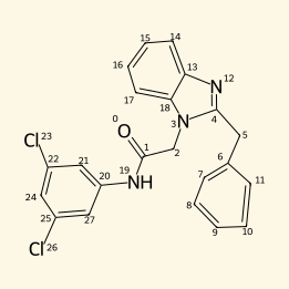 O=C(Cn1c(Cc2ccccc2)nc2ccccc21)Nc1cc(Cl)cc(Cl)c1